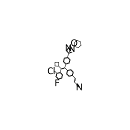 N#CC=Cc1ccc(C(=C(c2ccc(F)cc2Cl)C2CCC2)c2ccc(-c3cnn(C4CCCCO4)c3)cc2)cc1